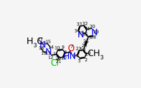 Cc1ccc(NC(=O)c2ccc(CN3CCN(C)CC3)c(Cl)c2)cc1C#Cc1cncc2cccnc12